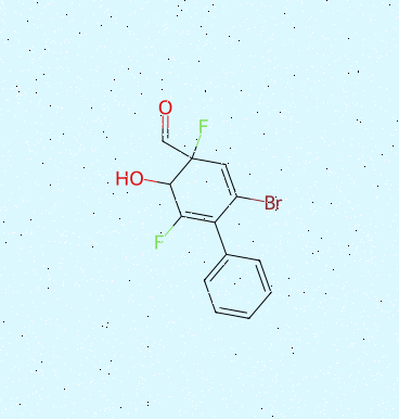 O=CC1(F)C=C(Br)C(c2ccccc2)=C(F)C1O